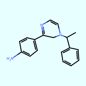 CC(c1ccccc1)N1C=CN=C(c2ccc(N)cc2)C1